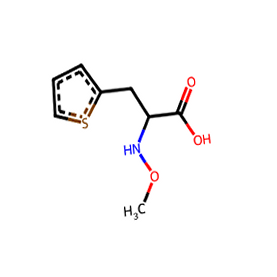 CONC(Cc1cccs1)C(=O)O